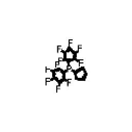 Fc1c(F)c(F)c(P(C2=CC=CC2)c2c(F)c(F)c(F)c(F)c2F)c(F)c1F